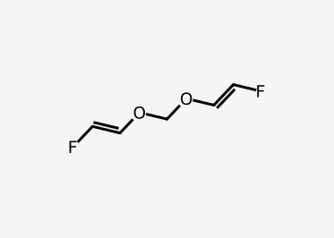 FC=COCOC=CF